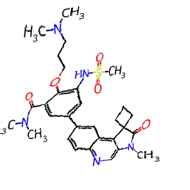 CN(C)CCCOc1c(NS(C)(=O)=O)cc(-c2ccc3ncc4c(c3c2)C2(CCC2)C(=O)N4C)cc1C(=O)N(C)C